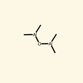 [CH3][Al]([CH3])[O][Al]([CH3])[CH3]